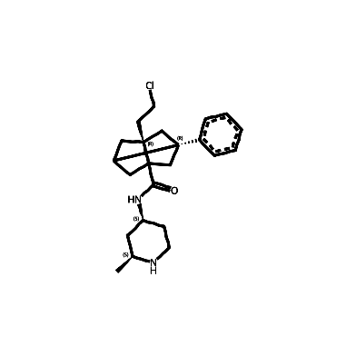 C[C@H]1C[C@@H](NC(=O)C23CC4C[C@]2(CCCl)C[C@@]4(c2ccccc2)C3)CCN1